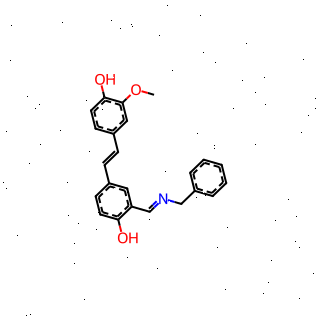 COc1cc(C=Cc2ccc(O)c(C=NCc3ccccc3)c2)ccc1O